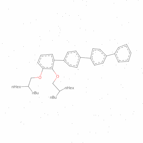 CCCCCCC(CCCC)COc1cccc(-c2ccc(-c3ccc(-c4ccccc4)cc3)cc2)c1OCC(CCCC)CCCCCC